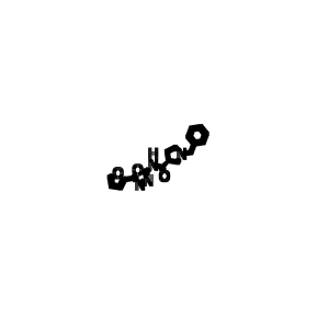 O=C(Nc1nnc(-c2ccco2)o1)[C@H]1CCN(Cc2ccccc2)C1